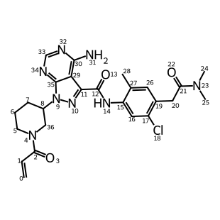 C=CC(=O)N1CCCC(n2nc(C(=O)Nc3cc(Cl)c(CC(=O)N(C)C)cc3C)c3c(N)ncnc32)C1